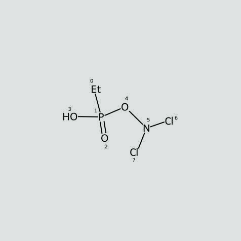 CCP(=O)(O)ON(Cl)Cl